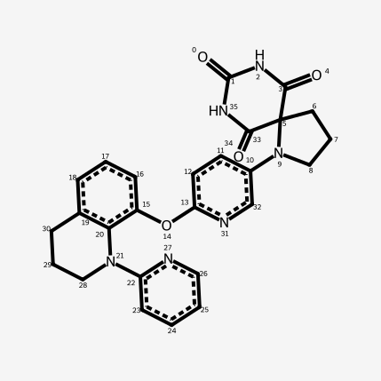 O=C1NC(=O)C2(CCCN2c2ccc(Oc3cccc4c3N(c3ccccn3)CCC4)nc2)C(=O)N1